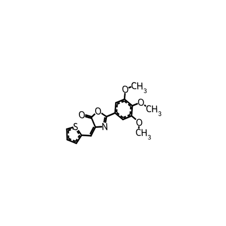 COc1cc(C2=N/C(=C/c3cccs3)C(=O)O2)cc(OC)c1OC